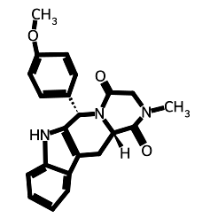 COc1ccc([C@H]2c3[nH]c4ccccc4c3C[C@H]3C(=O)N(C)CC(=O)N23)cc1